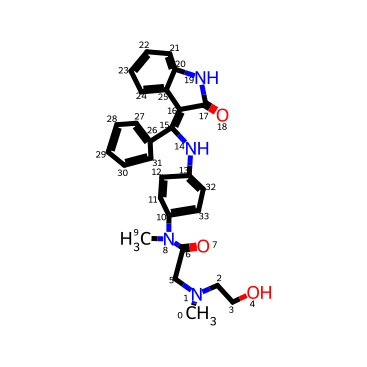 CN(CCO)CC(=O)N(C)c1ccc(N/C(=C2\C(=O)Nc3ccccc32)c2ccccc2)cc1